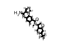 CN(C(=O)c1cc2c(cc1F)nc(N)c1cncn12)[C@@H]1COc2cc(C(F)(F)F)ncc21